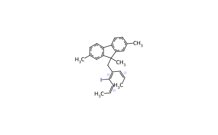 C\C=C/C(I)=C(\C=C/C)CC1(C)c2cc(C)ccc2-c2ccc(C)cc21